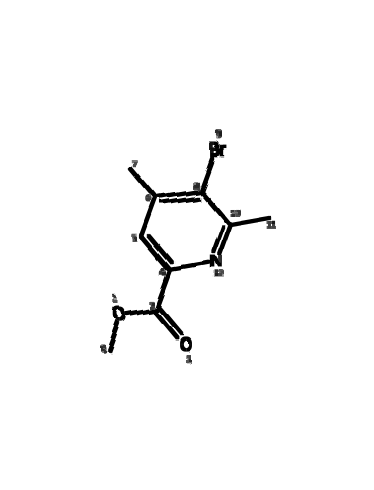 COC(=O)c1cc(C)c(Br)c(C)n1